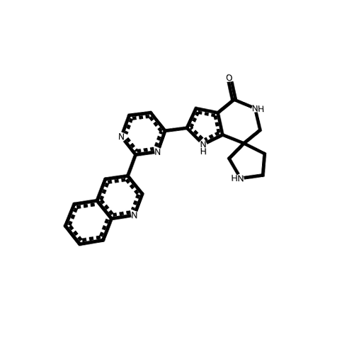 O=C1NCC2(CCNC2)c2[nH]c(-c3ccnc(-c4cnc5ccccc5c4)n3)cc21